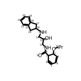 CC(C)OC1C=CC#CC1C(=O)NCC(O)CNC1Cc2ccccc2C1